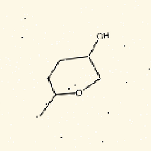 [CH2]C1CCC(O)CO1